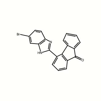 O=C1c2ccccc2-c2c1cccc2-c1nc2ccc(Br)cc2[nH]1